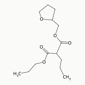 CCCOC(=O)C(CCC)C(=O)OCC1CCCO1